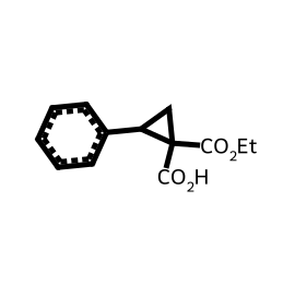 CCOC(=O)C1(C(=O)O)CC1c1ccccc1